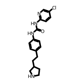 O=C(Nc1ccc(CCC2CCNC2)cc1)Nc1ccc(Cl)cn1